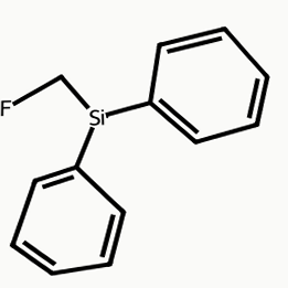 FC[Si](c1ccccc1)c1ccccc1